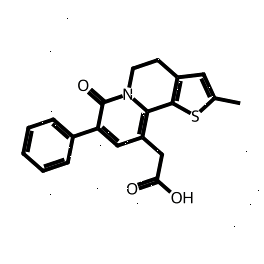 Cc1cc2c(s1)-c1c(CC(=O)O)cc(-c3ccccc3)c(=O)n1CC2